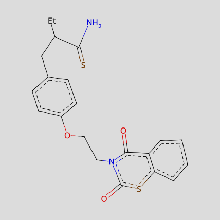 CCC(Cc1ccc(OCCn2c(=O)sc3ccccc3c2=O)cc1)C(N)=S